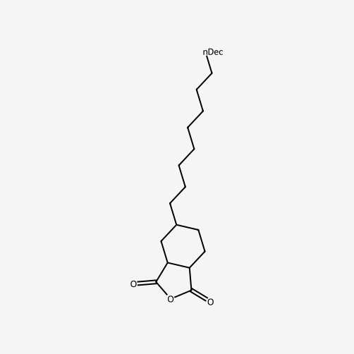 CCCCCCCCCCCCCCCCCCC1CCC2C(=O)OC(=O)C2C1